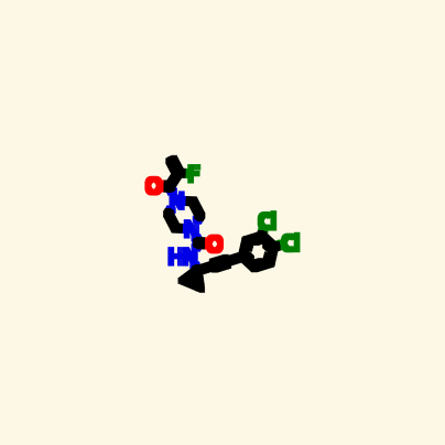 C=C(F)C(=O)N1CCN(C(=O)NC2(C#Cc3ccc(Cl)c(Cl)c3)CC2)CC1